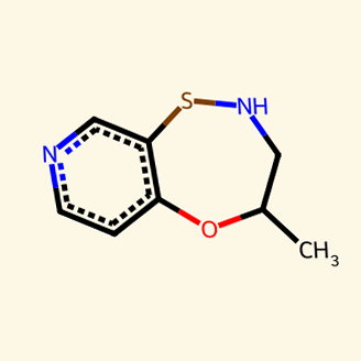 CC1CNSc2cnccc2O1